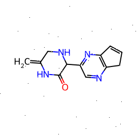 C=C1CNC(c2cnc3c(n2)C=CC3)C(=O)N1